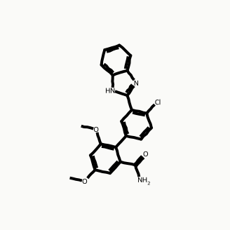 COc1cc(OC)c(-c2ccc(Cl)c(-c3nc4ccccc4[nH]3)c2)c(C(N)=O)c1